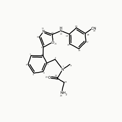 CN(Cc1ccccc1-c1cnc(Nc2cccc(C#N)c2)o1)C(=O)CN